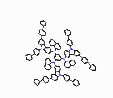 c1ccc(-c2ccc(-c3ccc4c(c3)c3cc(N(c5cc(N(c6ccc7c(c6)c6cc(-c8ccc(-c9ccccc9)cc8)ccc6n7-c6ccc(-c7ccccc7)cc6)c6cccc7ccccc67)cc(N(c6ccc7c(c6)c6cc(-c8ccc(-c9ccccc9)cc8)ccc6n7-c6ccc(-c7ccccc7)cc6)c6cccc7ccccc67)c5)c5cccc6ccccc56)ccc3n4-c3ccc(-c4ccccc4)cc3)cc2)cc1